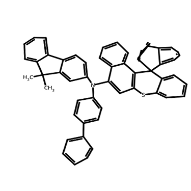 CC1(C)c2ccccc2-c2ccc(N(c3ccc(-c4ccccc4)cc3)c3cc4c(c5ccccc35)C3(c5ccccc5S4)c4ccccc4-c4ccccc43)cc21